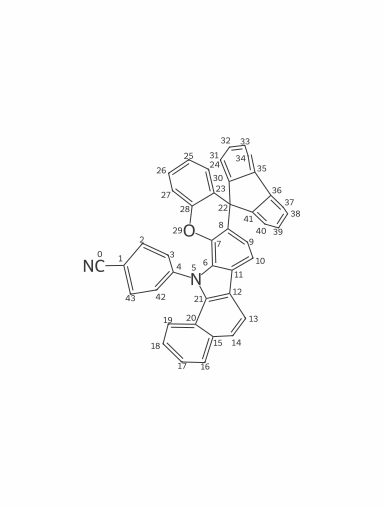 N#Cc1ccc(-n2c3c4c(ccc3c3ccc5ccccc5c32)C2(c3ccccc3O4)c3ccccc3-c3ccccc32)cc1